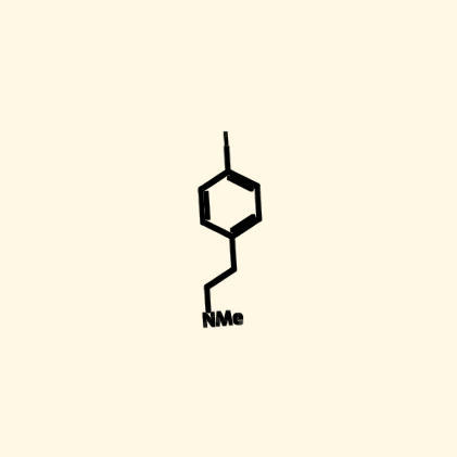 CNCCc1ccc(I)cc1